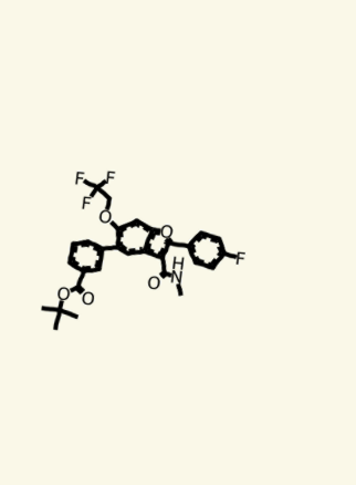 CNC(=O)c1c(-c2ccc(F)cc2)oc2cc(OCC(F)(F)F)c(-c3cccc(C(=O)OC(C)(C)C)c3)cc12